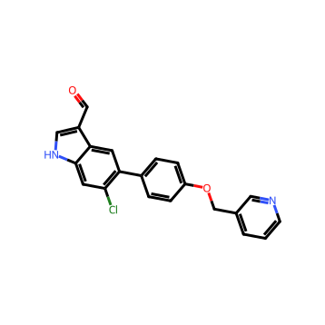 O=Cc1c[nH]c2cc(Cl)c(-c3ccc(OCc4cccnc4)cc3)cc12